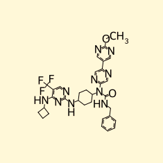 COc1ncc(-c2cnc(N(C(=O)NCc3ccccc3)C3CCC(Nc4ncc(C(F)(F)F)c(NC5CCC5)n4)CC3)cn2)cn1